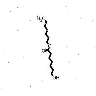 CCCCCCCOC(=O)CCCCCCO